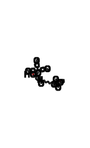 COc1ccc(C(OCC2(CO)CCN(C(=O)CCCCCON3C(=O)C4C5C=CC(O5)C4C3=O)CC2)(c2ccc(OC)cc2)c2ccc(OC)cc2)cc1